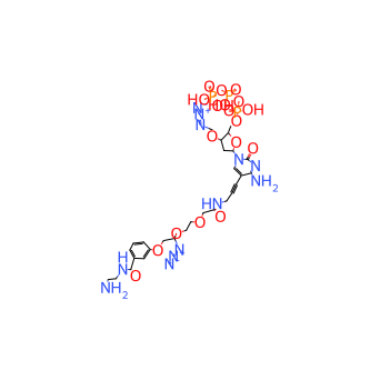 [N-]=[N+]=NCOC1CC(n2cc(C#CCNC(=O)COCCOC(COc3cccc(C(=O)NCCN)c3)N=[N+]=[N-])c(N)nc2=O)OC1COP(=O)(O)OP(=O)(O)OP(=O)(O)O